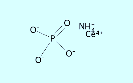 O=P([O-])([O-])[O-].[Ce+4].[NH4+]